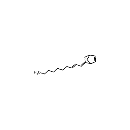 CCCCCCCC=CC=C1CC2C=CC1C2